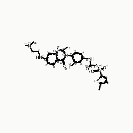 Cc1ccc(S(=O)(=O)NC(=O)Nc2ccc(-n3c(C)nc4cc(NCCN(C)C)ccc4c3=O)c(F)c2)s1